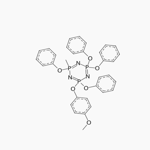 COc1ccc(OP2(Oc3ccccc3)=NP(C)(Oc3ccccc3)=NP(Oc3ccccc3)(Oc3ccccc3)=N2)cc1